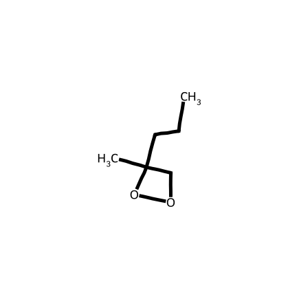 CCCC1(C)COO1